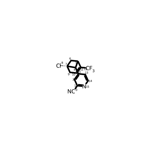 N#Cc1cc(C2C3C[C@]2(Cl)CC=C3C(F)(F)F)ccn1